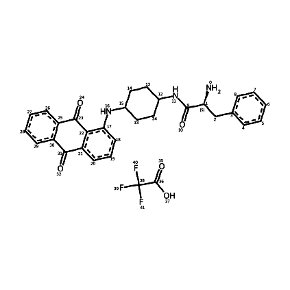 N[C@@H](Cc1ccccc1)C(=O)NC1CCC(Nc2cccc3c2C(=O)c2ccccc2C3=O)CC1.O=C(O)C(F)(F)F